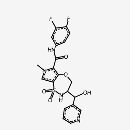 Cn1cc2c(c1C(=O)Nc1ccc(F)c(F)c1)OCC(C(O)c1cccnc1)NS2(=O)=O